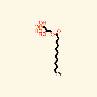 CC(C)CCCCCCCCCCC(=O)OCC(O)CP(=O)(O)O